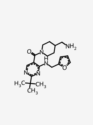 CC(C)(C)c1ncc(C(=O)N2CCC(CN)CC2)c(NCc2ccco2)n1